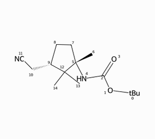 CC(C)(C)OC(=O)N[C@@]1(C)CC[C@@H](CC#N)C1(C)C